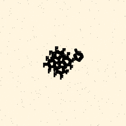 C[n+]1ccccc1.Fc1c(F)c(F)c([B-](c2c(F)c(F)c(F)c(F)c2F)(c2c(F)c(F)c(F)c(F)c2F)c2c(F)c(F)c(F)c(F)c2F)c(F)c1F